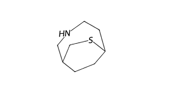 C1CC2CCC(CN1)CS2